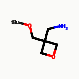 CC(C)(C)OCC1(CN)COC1